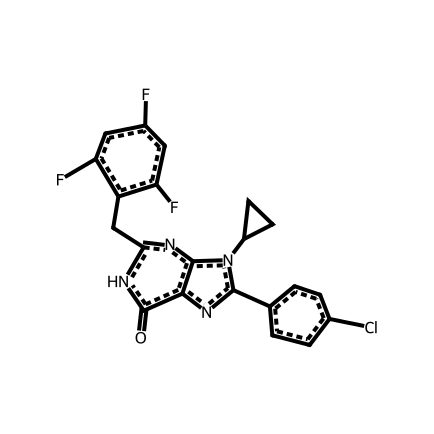 O=c1[nH]c(Cc2c(F)cc(F)cc2F)nc2c1nc(-c1ccc(Cl)cc1)n2C1CC1